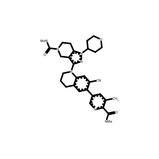 CNC(=O)c1ncc(-c2cc3c(cc2C#N)N(c2nn(C4CCOCC4)c4c2CN(C(=O)NC)CC4)CCC3)cc1C